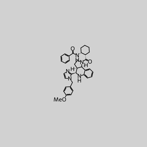 COc1ccc(Cn2ccnc2[C@@H]2Nc3ccccc3[C@H]3[C@@H]2CCN3C(=O)[C@H]2CCCC[C@H]2NC(=O)c2ccccc2)cc1